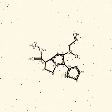 C=CC[S+]([O-])c1cc2n(c1-c1ccc[nH]1)CCC2C(=O)OC